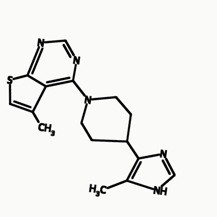 Cc1[nH]cnc1C1CCN(c2ncnc3scc(C)c23)CC1